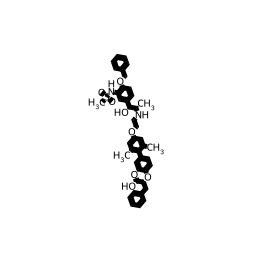 Cc1cc(OCCN[C@@H](C)[C@@H](O)c2ccc(OCc3ccccc3)c(NS(C)(=O)=O)c2)cc(C)c1-c1ccc(OC(Cc2ccccc2)C(=O)O)cc1